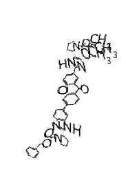 CC(C)(C)OC(=O)N1CCC[C@H]1c1cnc(-c2ccc3oc4cc(-c5ccc6nc([C@@H]7CCCN7C(=O)OCc7ccccc7)[nH]c6c5)ccc4c(=O)c3c2)[nH]1